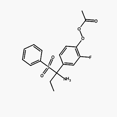 CCC(N)(c1ccc(OOC(C)=O)c(F)c1)S(=O)(=O)c1ccccc1